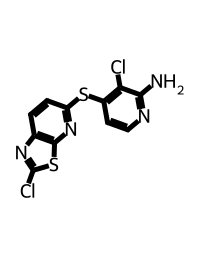 Nc1nccc(Sc2ccc3nc(Cl)sc3n2)c1Cl